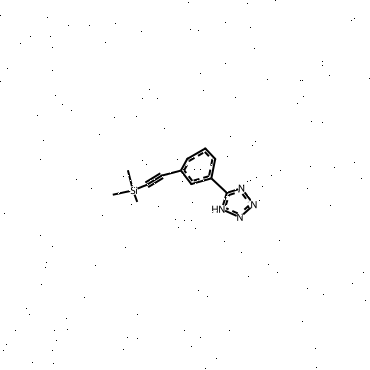 C[Si](C)(C)C#Cc1cccc(-c2nnn[nH]2)c1